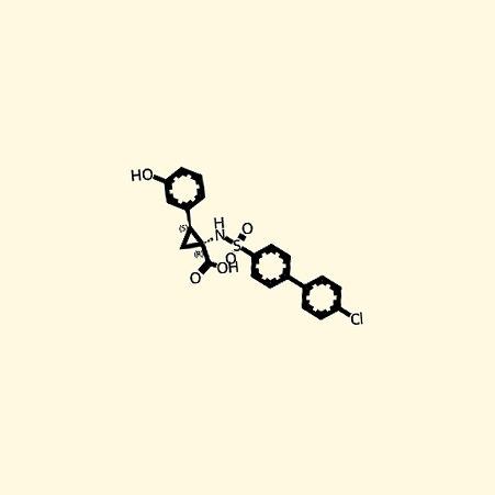 O=C(O)[C@@]1(NS(=O)(=O)c2ccc(-c3ccc(Cl)cc3)cc2)C[C@H]1c1cccc(O)c1